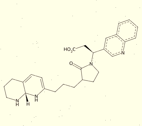 O=C(O)C[C@@H](c1cnc2ccccc2c1)N1CCC(CCCC2=CC=C3CCCN[C@H]3N2)C1=O